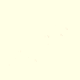 CC(C)(C)OC(=O)NC(CC(=O)Nc1n[nH]c(=S)s1)c1ccccc1